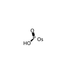 O=PO.[Os]